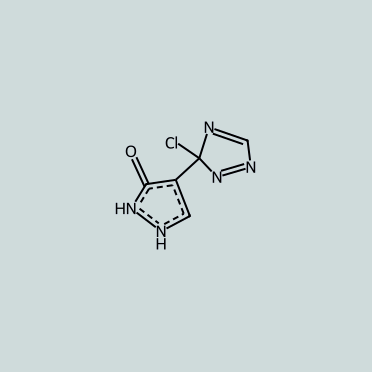 O=c1[nH][nH]cc1C1(Cl)N=CN=N1